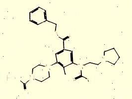 Cc1c(N2CCN(C(=O)C(F)(F)F)CC2)cc(C(=O)OCc2ccccc2)cc1N(CCN1CCCC1)C(=O)C(F)(F)F